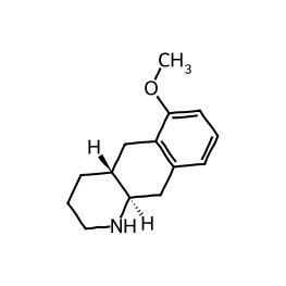 COc1cccc2c1C[C@H]1CCCN[C@@H]1C2